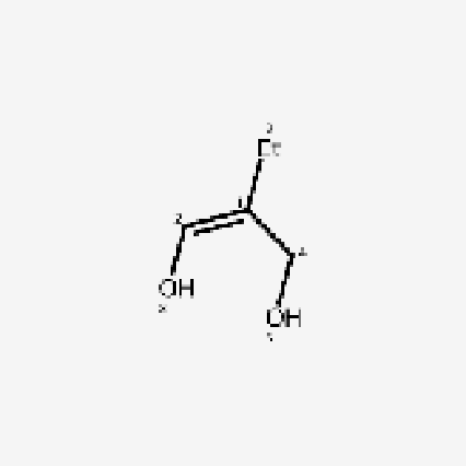 [CH2]CC(=CO)CO